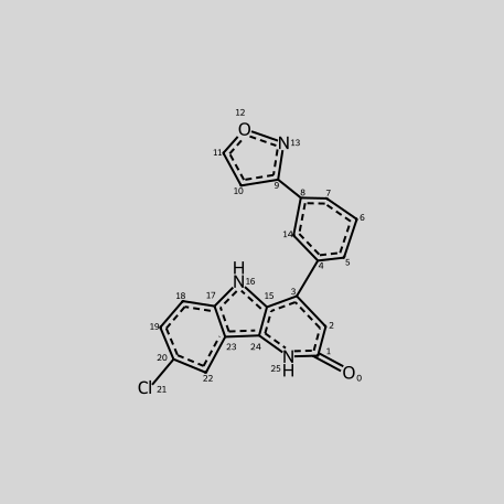 O=c1cc(-c2cccc(-c3ccon3)c2)c2[nH]c3ccc(Cl)cc3c2[nH]1